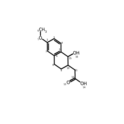 COc1ccc2c(c1)CCC(CC(=O)O)C2O